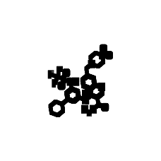 NC(=O)c1cnc2cc(CN3CCS(=O)(=O)CC3)ccc2c1Nc1cc(NS(=O)(=O)C(F)(F)F)cc(C2CCCCC2)c1